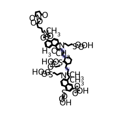 CN(CCCC(=O)ON1C(=O)CCC1=O)S(=O)(=O)c1cccc2c3c(ccc12)N(CCCSOOO)/C(=C/C=C1\CCCC(/C=C/C2=[N+](CCCSOOO)c4ccc5c(SOOO)cc(S(=O)(=O)O)cc5c4C2(C)C)=C1SCCS(=O)(=O)O)C3(C)C